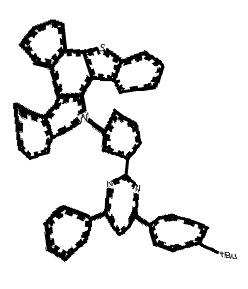 CC(C)(C)c1ccc(-c2cc(-c3ccccc3)nc(-c3cccc(-n4c5ccccc5c5c6ccccc6c6sc7ccccc7c6c54)c3)n2)cc1